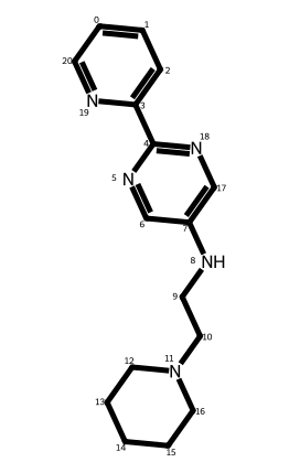 c1ccc(-c2ncc(NCCN3CCCCC3)cn2)nc1